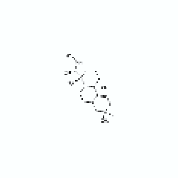 CC(C)NC(=O)[C@]1(C)CCC[C@@]2(C)C3=CC[C@](C)(I)CC3CCC12